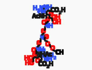 C#CCOCCOCCC(=O)N(CCOCCNC(=O)CO[C@@H]([C@@H]1OC(C(=O)O)=C[C@H](NC(=N)N)[C@H]1NC(C)=O)[C@H](O)CO)CCOCCNC(=O)CO[C@@H]([C@@H]1OC(C(=O)O)=C[C@H](NC(=N)N)[C@H]1NC(C)=O)[C@H](O)CO